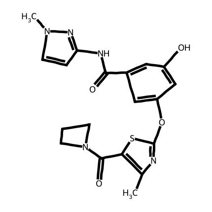 Cc1nc(Oc2cc(O)cc(C(=O)Nc3ccn(C)n3)c2)sc1C(=O)N1CCC1